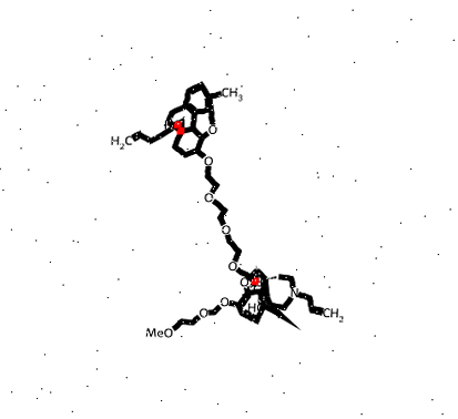 C=CCN1CC[C@]23c4c5ccc(OCOCCOC)c4O[C@H]2C(OCCOCCOCCOC2CC[C@@]4(O)C6Cc7ccc(C)c8c7[C@@]4(CCN6CC=C)C2O8)CC[C@@]3(O)C(C5)C1